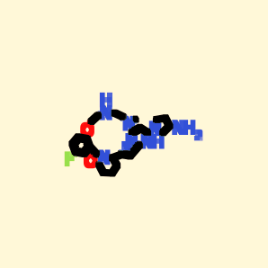 CN1CCNCCOc2ccc(F)cc2C(=O)N2CCCCC2c2cc3n(n2)C1=CC(N1CC[C@H](N)C1)N3